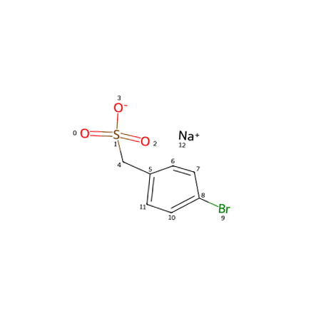 O=S(=O)([O-])Cc1ccc(Br)cc1.[Na+]